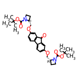 CC(C)(C)OC(=O)N1CC[C@@H]1COc1ccc2c(c1)C(=O)c1cc(OC[C@H]3CCN3C(=O)OC(C)(C)C)ccc1-2